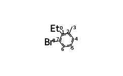 CCc1c(C)c[c]cc1Br